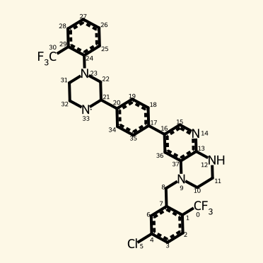 FC(F)(F)c1ccc(Cl)cc1CN1CCNc2ncc(-c3ccc(C4CN(c5ccccc5C(F)(F)F)CC[N]4)cc3)cc21